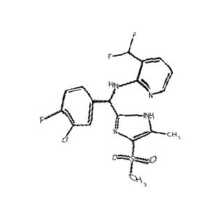 Cc1[nH]c(C(Nc2ncccc2C(F)F)c2ccc(F)c(Cl)c2)nc1S(C)(=O)=O